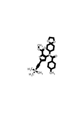 COC(=O)c1sc(C#C[Si](C)(C)C)cc1N(C(=O)C1CCC(C)CC1)C1CCC2(CC1)OCCO2